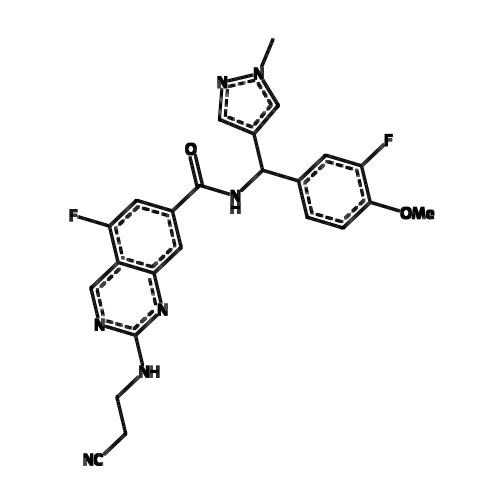 COc1ccc(C(NC(=O)c2cc(F)c3cnc(NCCC#N)nc3c2)c2cnn(C)c2)cc1F